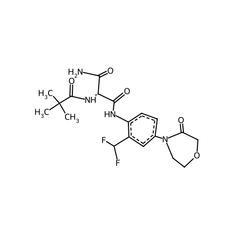 CC(C)(C)C(=O)N[C@H](C(N)=O)C(=O)Nc1ccc(N2CCOCC2=O)cc1C(F)F